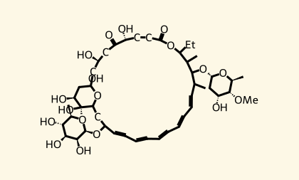 CCC1OC(=O)CC[C@@H](O)C(=O)C[C@H](O)C[C@]2(O)C[C@H](O)[C@](C)(O)C(CC(O[C@@H]3O[C@H](C)[C@@H](O)[C@H](O)[C@@H]3O)/C=C/C=C/C=C/C=C/C=C/C(C)C(O[C@H]3C[C@@H](O)[C@@H](OC)[C@H](C)O3)C1C)O2